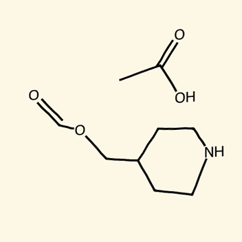 CC(=O)O.O=COCC1CCNCC1